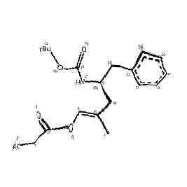 CC(=O)CC(=O)OC=C(C)C[C@H](Cc1ccccc1)NC(=O)OC(C)(C)C